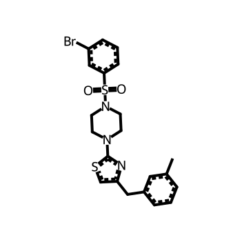 Cc1cccc(Cc2csc(N3CCN(S(=O)(=O)c4cccc(Br)c4)CC3)n2)c1